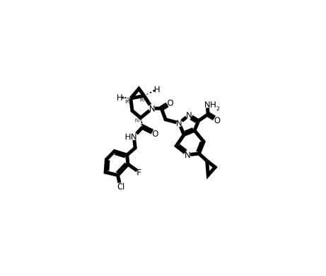 NC(=O)c1nn(CC(=O)N2[C@@H]3C[C@@H]3C[C@H]2C(=O)NCc2cccc(Cl)c2F)c2cnc(C3CC3)cc12